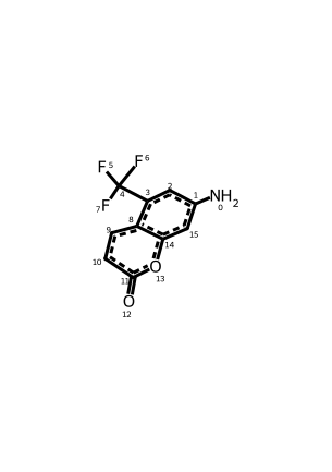 Nc1cc(C(F)(F)F)c2ccc(=O)oc2c1